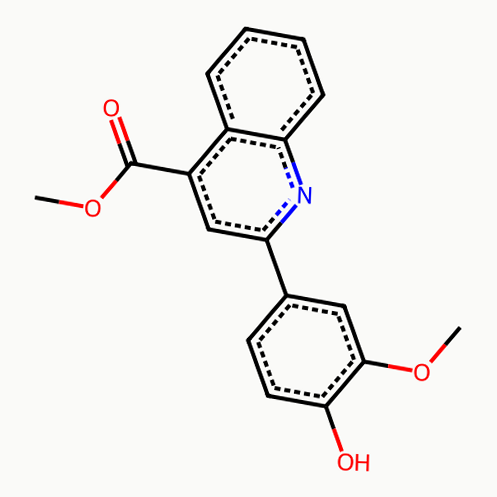 COC(=O)c1cc(-c2ccc(O)c(OC)c2)nc2ccccc12